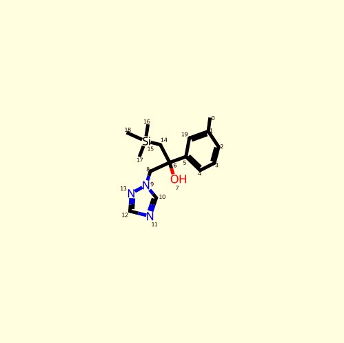 Cc1cccc(C(O)(Cn2cncn2)C[Si](C)(C)C)c1